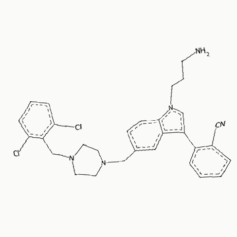 N#Cc1ccccc1-c1cn(CCCN)c2ccc(CN3CCN(Cc4c(Cl)cccc4Cl)CC3)cc12